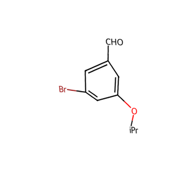 CC(C)Oc1cc(Br)cc(C=O)c1